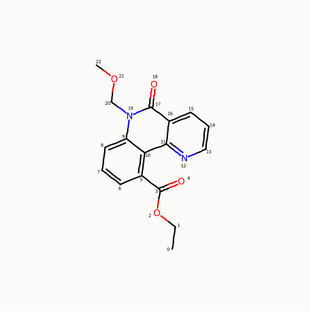 CCOC(=O)c1cccc2c1c1ncccc1c(=O)n2COC